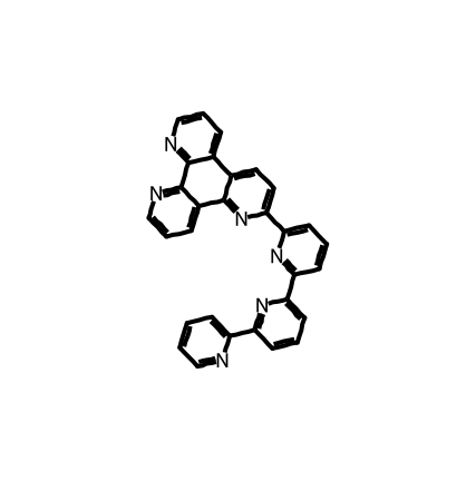 c1ccc(-c2cccc(-c3cccc(-c4ccc5c6cccnc6c6ncccc6c5n4)n3)n2)nc1